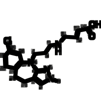 Cn1cc2c(n1)N(CCCNC/C=C/C(=O)O)c1cc(Cl)ccc1CC2